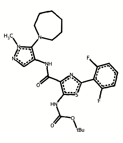 Cn1ncc(NC(=O)c2nc(-c3c(F)cccc3F)sc2NC(=O)OC(C)(C)C)c1N1CCCCCC1